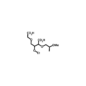 CCOC(COCC(=O)O)C(OCC(C)OC)C(=O)O